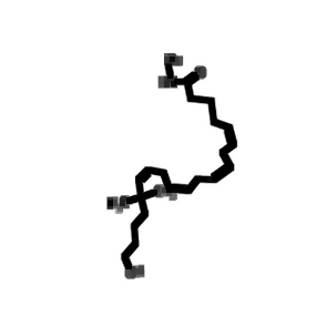 CCC(C)NC(=O)CCC/C=C\C/C=C\C/C=C\C/C=C\C(C)(C)CCCCO